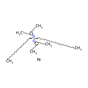 CCCCCCCCCCCCCCCCCCCCC#CC(=N\c1cc(CCCCC)cc(CCCCC)c1)/C(C#CCCCCCCCCCCCCCCCCCCCCCCCCC)=N/c1cc(CCCCC)cc(CCCCC)c1.[Ni]